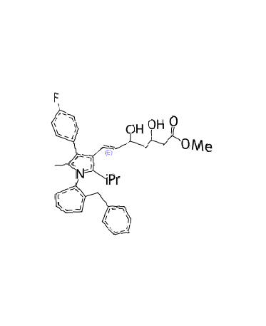 COC(=O)CC(O)CC(O)/C=C/c1c(-c2ccc(F)cc2)c(C)n(-c2ccccc2Cc2ccccc2)c1C(C)C